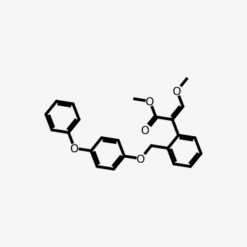 COC=C(C(=O)OC)c1ccccc1COc1ccc(Oc2ccccc2)cc1